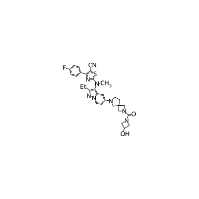 CCc1nn2ccc(N3CCC4(CN(C(=O)N5CC(O)C5)C4)C3)cc2c1N(C)c1nc(-c2ccc(F)cc2)c(C#N)s1